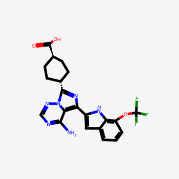 Nc1ncnn2c1c(-c1cc3cccc(OC(F)(F)F)c3[nH]1)nc2[C@H]1CC[C@H](C(=O)O)CC1